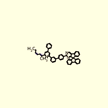 C=C/C=C\C=C(/C)c1cc(-c2ccccc2)cc(-c2cccc(-c3ccc(-c4ncc5c(n4)C4(c6ccccc6-c6ccccc64)c4ccccc4-5)cc3)c2)n1